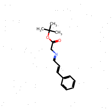 CC(C)(C)OC(=O)C/N=C/C=C/c1ccccc1